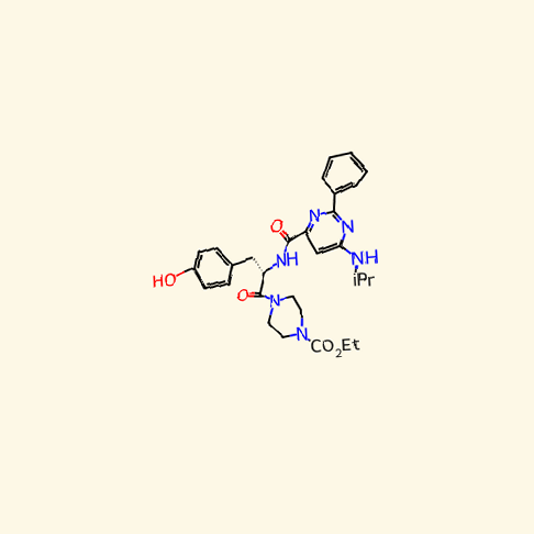 CCOC(=O)N1CCN(C(=O)[C@H](Cc2ccc(O)cc2)NC(=O)c2cc(NC(C)C)nc(-c3ccccc3)n2)CC1